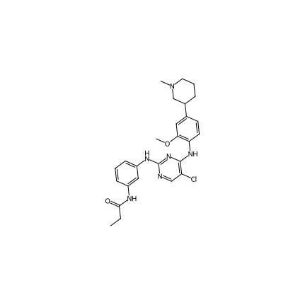 CCC(=O)Nc1cccc(Nc2ncc(Cl)c(Nc3ccc(C4CCCN(C)C4)cc3OC)n2)c1